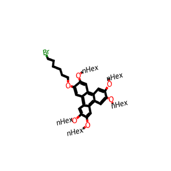 CCCCCCOc1cc2c3cc(OCCCCCC)c(OCCCCCC)cc3c3cc(OCCCCCCBr)c(OCCCCCC)cc3c2cc1OCCCCCC